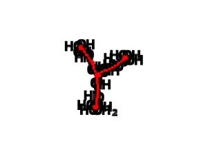 CC(CCCOC(=O)NCCCCCCNC(=O)CCCOC1CC(O)C(O)C(CO)O1)(CCCOC(=O)NCCCCCCNC(=O)CCCOC1OC(CO)C(O)C(O)C1N)CCCOC(=O)NCCCCCCNC(=O)CCCOC1OC(CO)C(O)C(O)C1N